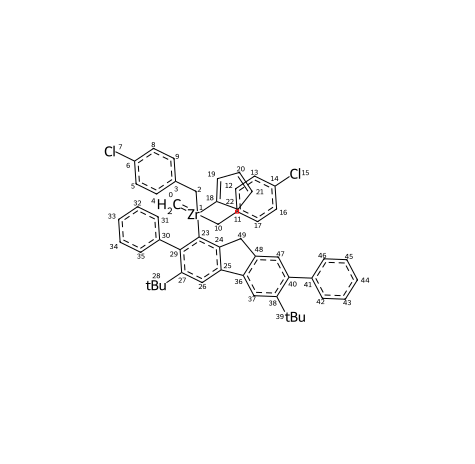 [CH2]=[Zr]([CH2]c1ccc(Cl)cc1)([CH2]c1ccc(Cl)cc1)([C]1=CC=CC1)[c]1c2c(cc(C(C)(C)C)c1-c1ccccc1)-c1cc(C(C)(C)C)c(-c3ccccc3)cc1C2